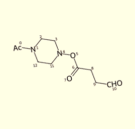 CC(=O)N1CCN(OC(=O)CCC=O)CC1